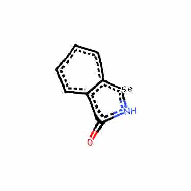 O=c1[nH][se]c2ccc[c]c12